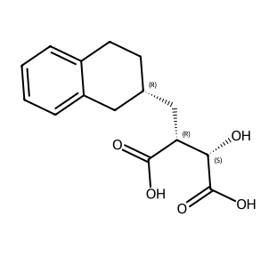 O=C(O)[C@@H](O)[C@@H](C[C@H]1CCc2ccccc2C1)C(=O)O